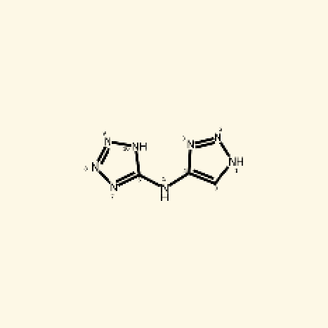 c1[nH]nnc1Nc1nnn[nH]1